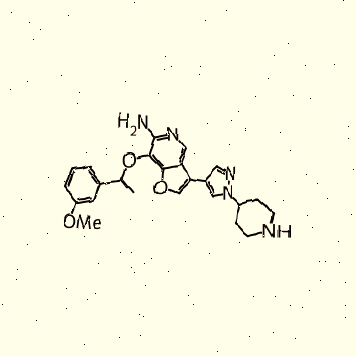 COc1cccc(C(C)Oc2c(N)ncc3c(-c4cnn(C5CCNCC5)c4)coc23)c1